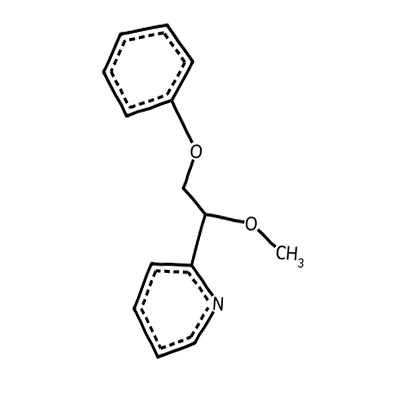 COC(COc1ccccc1)c1ccccn1